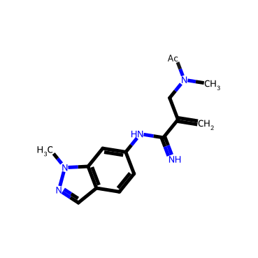 C=C(CN(C)C(C)=O)C(=N)Nc1ccc2cnn(C)c2c1